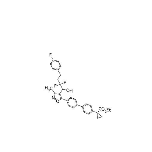 CCOC(=O)C1(c2ccc(-c3ccc(-c4onc(C)c4C(O)C(F)(F)CCc4ccc(F)cc4)cc3)cc2)CC1